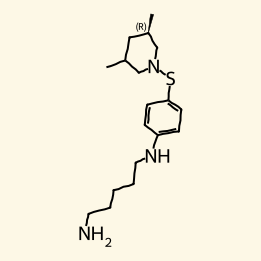 CC1C[C@@H](C)CN(Sc2ccc(NCCCCCN)cc2)C1